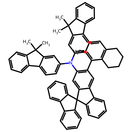 Cc1ccc2c(c1-c1cc3c(cc1N(c1ccc4c(c1)C(C)(C)c1ccccc1-4)c1ccc4c(c1)C(C)(C)c1ccccc1-4)C1(c4ccccc4-c4ccccc41)c1ccccc1-3)CCCC2